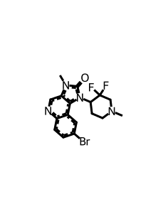 CN1CCC(n2c(=O)n(C)c3cnc4ccc(Br)cc4c32)C(F)(F)C1